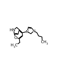 CCCCN1C=CN(C2=C3C=C(NC3)OC(CC)=C2)C1